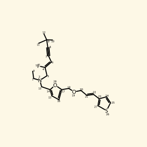 CCN(CC(F)=CC#CC(C)(C)C)Cc1ccc(COCC=Cc2ccsc2)o1